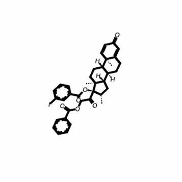 C[C@H]1C[C@H]2[C@@H]3CCC4=CC(=O)C=C[C@]4(C)[C@H]3CC[C@]2(C)[C@@]1(OC(=O)c1cccc(I)c1)C(=O)COC(=O)c1ccccc1